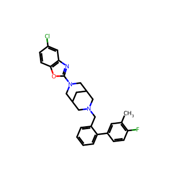 Cc1cc(-c2ccccc2CN2CC3CC(C2)CN(c2nc4cc(Cl)ccc4o2)C3)ccc1F